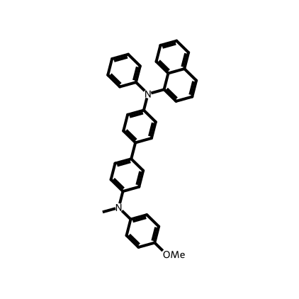 COc1ccc(N(C)c2ccc(-c3ccc(N(c4ccccc4)c4cccc5ccccc45)cc3)cc2)cc1